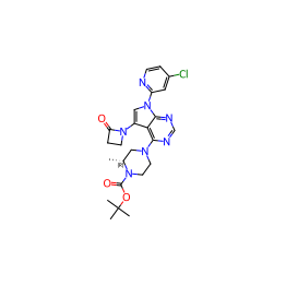 C[C@@H]1CN(c2ncnc3c2c(N2CCC2=O)cn3-c2cc(Cl)ccn2)CCN1C(=O)OC(C)(C)C